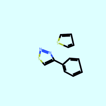 c1ccc(-c2csnn2)cc1.c1ccsc1